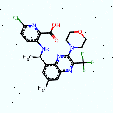 Cc1cc([C@@H](C)Nc2ccc(Cl)nc2C(=O)O)c2nc(N3CCOCC3)c(C(F)(F)F)nc2c1